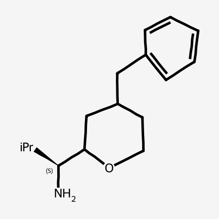 CC(C)[C@H](N)C1CC(Cc2ccccc2)CCO1